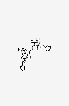 COC(=O)C(CCCCC(NC(=O)OCc1ccccc1)C(=O)OC)NC(=O)OCc1ccccc1